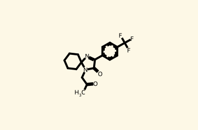 CC(=O)CN1C(=O)C(c2ccc(C(F)(F)F)cc2)=NC12CCCCC2